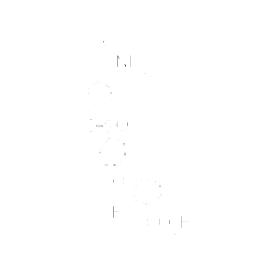 CCc1c(Oc2ccc(S(=O)(=O)c3ccc(C[C@@H](C)N)cc3)cc2)cccc1C(=O)O